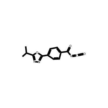 CC(C)c1nnc(-c2ccc(C(=O)N=C=O)cc2)o1